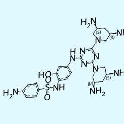 Nc1ccc(S(=O)(=O)Nc2ccc(Nc3nc(N4C[C@H](N)C[C@H](N)C4)nc(N4C[C@H](N)C[C@H](N)C4)n3)cc2O)cc1